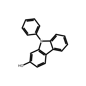 Oc1[c]c2c(cc1)c1ccccc1n2-c1ccccc1